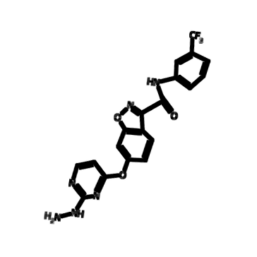 NNc1nccc(Oc2ccc3c(C(=O)Nc4cccc(C(F)(F)F)c4)noc3c2)n1